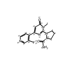 Cn1c(N2CCC[C@H]2C(N)=O)nc(-c2ccncc2F)cc1=O